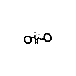 O=C(NNCC1CCCCCCC1)C1CCCCCCC1